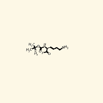 CC(C)(C)OC(=O)N[C@@H](CCCCN)C(=O)F